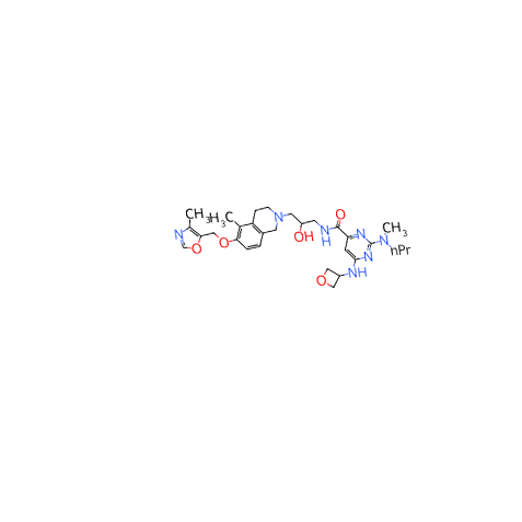 CCCN(C)c1nc(NC2COC2)cc(C(=O)NCC(O)CN2CCc3c(ccc(OCc4ocnc4C)c3C)C2)n1